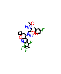 CC(=O)N[C@@H](Cc1cccc(F)c1)[C@@H](O)CN[C@H]1CC2(CCC2)Oc2ncc(C(F)C(C)C(F)(F)F)cc21